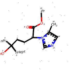 CCCCCCCC(O)(CCC)CCC(C(=O)OC(C)C)n1cncc1C